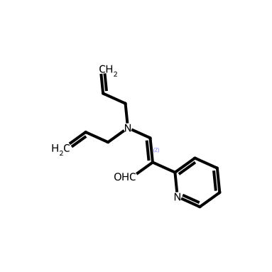 C=CCN(/C=C(\C=O)c1ccccn1)CC=C